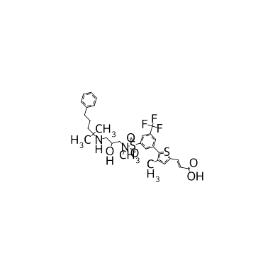 Cc1cc(C=CC(=O)O)sc1-c1cc(C(F)(F)F)cc(S(=O)(=O)N(C)CC(O)CNC(C)(C)CCCc2ccccc2)c1